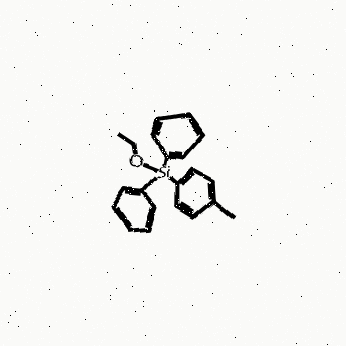 CCO[Si](c1ccccc1)(c1ccccc1)c1ccc(C)cc1